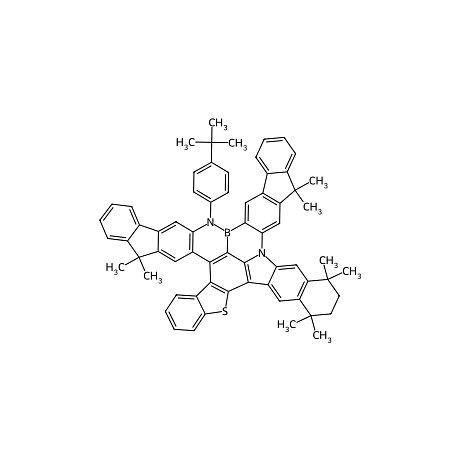 CC(C)(C)c1ccc(N2B3c4cc5c(cc4-n4c6cc7c(cc6c6c8sc9ccccc9c8c(c3c64)-c3cc4c(cc32)-c2ccccc2C4(C)C)C(C)(C)CCC7(C)C)C(C)(C)c2ccccc2-5)cc1